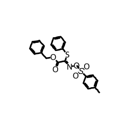 Cc1ccc(S(=O)(=O)O/N=C(\Sc2ccccc2)C(=O)OCc2ccccc2)cc1